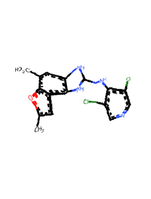 Cc1cc2c3c(cc(C(=O)O)c2o1)NC(Nc1c(Cl)cncc1Cl)N3